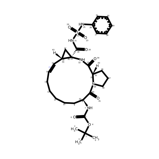 CC(C)(C)OC(=O)N[C@H]1CCCCC/C=C\[C@@H]2C[C@@]2(C(=O)NS(=O)(=O)Nc2ccccc2)NC(=O)[C@@H]2CCCN2C1=O